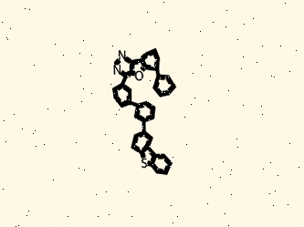 c1ccc(-c2cccc3c2oc2c(-c4cccc(-c5cccc(-c6ccc7sc8ccccc8c7c6)c5)c4)ncnc23)cc1